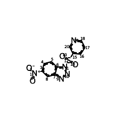 O=[N+]([O-])c1ccc2c(c1)nnn2S(=O)(=O)c1cccnc1